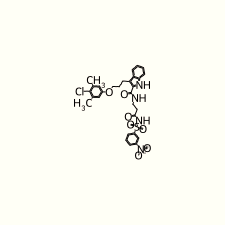 Cc1cc(OCCCc2c(C(=O)NCCC(=O)NS(=O)(=O)c3cccc([N+](=O)[O-])c3)[nH]c3ccccc23)cc(C)c1Cl